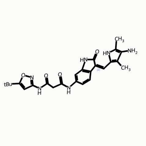 Cc1[nH]c(/C=C2\C(=O)Nc3cc(NC(=O)CC(=O)Nc4cc(C(C)(C)C)on4)ccc32)c(C)c1N